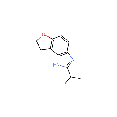 CC(C)c1nc2ccc3c(c2[nH]1)CCO3